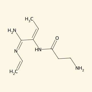 C=C/N=C(N)\C(=C/C)NC(=O)CCN